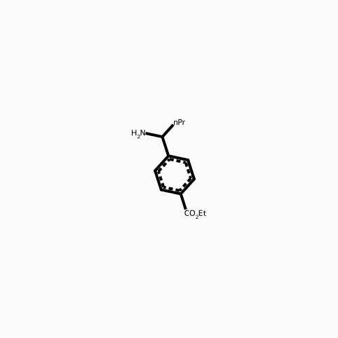 CCCC(N)c1ccc(C(=O)OCC)cc1